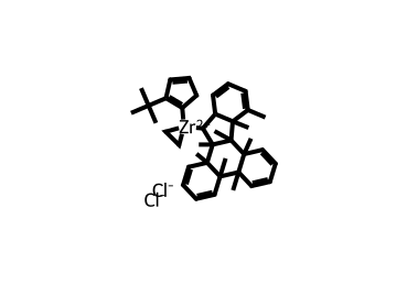 CC1=CC=CC2[CH]([Zr+2]3([C]4=C(C(C)(C)C)C=CC4)[CH2][CH2]3)C3(C)C4(C)C=CC=CC4(C)C4(C)C=CC=CC4(C)C3(C)C12C.[Cl-].[Cl-]